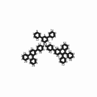 c1ccc(-c2cc(-c3ccccc3)cc(N(c3ccc(-c4ccc(-c5ccccc5)c(-c5ccccc5)c4)cc3)c3ccc(-c4ccc5c(-c6ccccc6)c(-c6ccccc6)c6ccccc6c5c4)cc3)c2)cc1